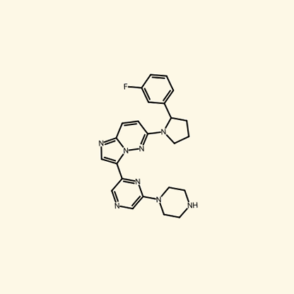 Fc1cccc(C2CCCN2c2ccc3ncc(-c4cncc(N5CCNCC5)n4)n3n2)c1